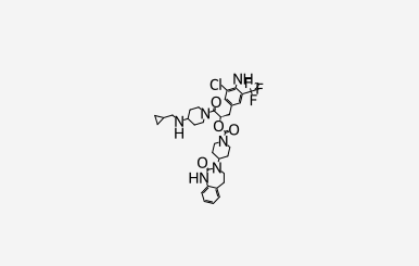 Nc1c(Cl)cc(C[C@@H](OC(=O)N2CCC(N3CCc4ccccc4NC3=O)CC2)C(=O)N2CCC(NCC3CC3)CC2)cc1C(F)(F)F